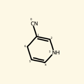 N#CC1=CNC=CC1